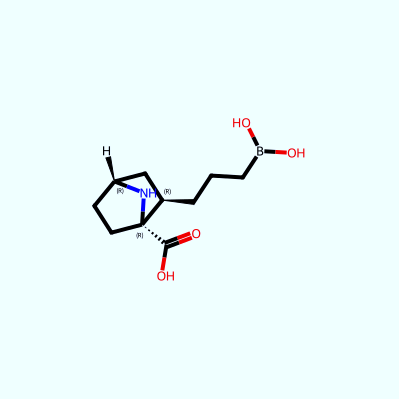 O=C(O)[C@@]12CC[C@H](C[C@H]1CCCB(O)O)N2